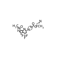 CNC(=O)c1csc2c(C(F)(F)F)cc(N3CCN(C(=O)OC(C)CC#N)CC3)nc12